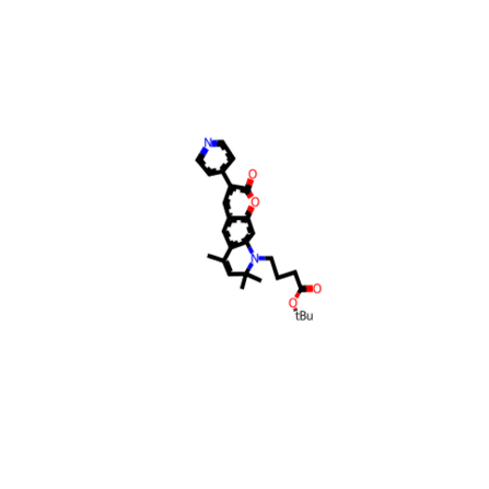 CC1=CC(C)(C)N(CCCC(=O)OC(C)(C)C)c2cc3oc(=O)c(-c4ccncc4)cc3cc21